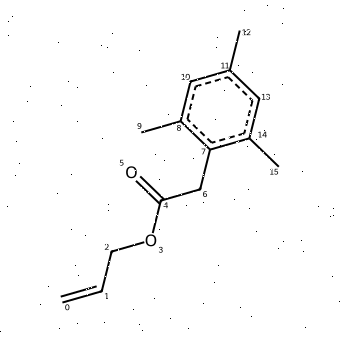 C=CCOC(=O)Cc1c(C)cc(C)cc1C